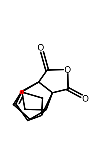 O=C1OC(=O)C23C4C[C]=C(C4)C12C1CCC3C1